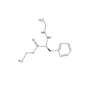 CCNN[C@@H](Cc1ccccc1)C(=O)SCC